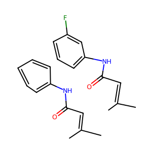 CC(C)=CC(=O)Nc1cccc(F)c1.CC(C)=CC(=O)Nc1ccccc1